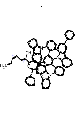 C=C/C=C\C=C(/C)c1cc(-c2cc(-c3ccccc3-n3c4ccccc4c4ccccc43)c(-n3c4ccccc4c4cc(-c5ccccc5)ccc43)c(-c3ccccc3-n3c4ccccc4c4ccccc43)c2)nc(-c2ccccc2)n1